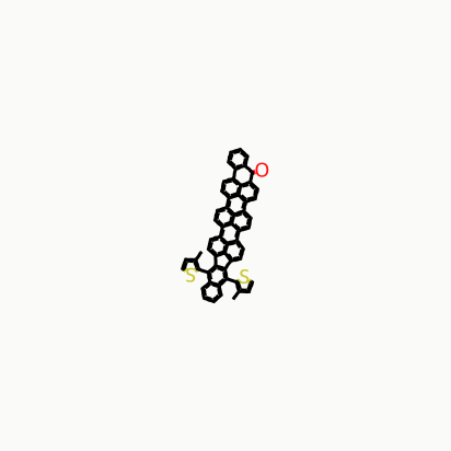 Cc1ccsc1-c1c2c(c(-c3sccc3C)c3ccccc13)-c1ccc3c4ccc5c6ccc7c8c(ccc(c9ccc(c%10ccc-2c1c%103)c4c95)c86)C(=O)c1ccccc1-7